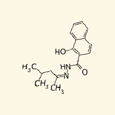 C/C(CC(C)C)=N/NC(=O)c1ccc2ccccc2c1O